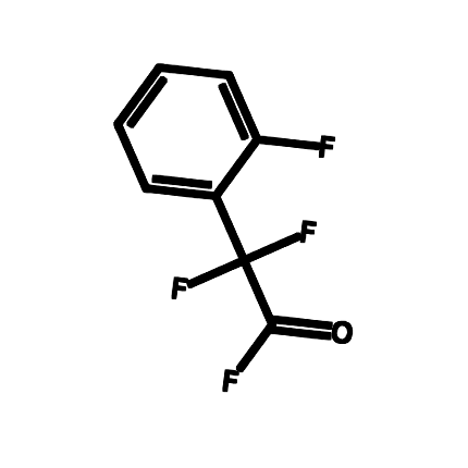 O=C(F)C(F)(F)c1ccccc1F